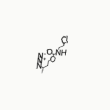 CC(CCOC(=O)NCCCl)N=[N+]=[N-]